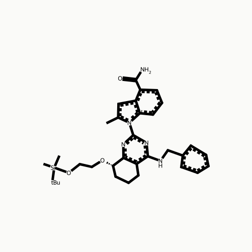 Cc1cc2c(C(N)=O)cccc2n1-c1nc(NCc2ccccc2)c2c(n1)[C@@H](OCCO[Si](C)(C)C(C)(C)C)CCC2